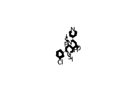 O=C1C[C@@H](c2ccncc2)N(SI)[C@H]2C[C@@H](c3cccc(Cl)c3)N(SI)C[C@@H]12